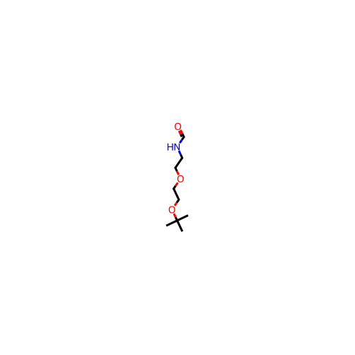 CC(C)(C)OCCOCCNC=O